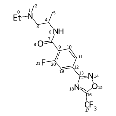 CCN(C)CC(C)NC(=O)c1ccc(-c2noc(C(F)(F)F)n2)cc1F